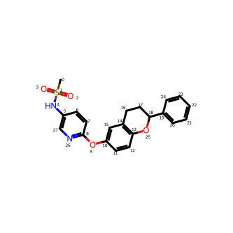 CS(=O)(=O)Nc1ccc(Oc2ccc3c(c2)CCC(c2ccccc2)O3)nc1